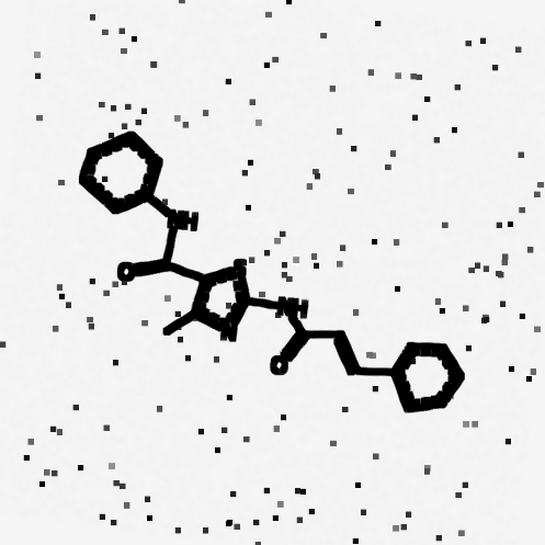 Cc1nc(NC(=O)C=Cc2ccccc2)sc1C(=O)Nc1ccccc1